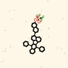 O=S(=O)(Oc1ccc2cc(-c3ccc4c5c(cccc35)-c3c-4c(-c4ccccc4)c4ccccc4c3-c3ccccc3)ccc2c1)C(F)(F)F